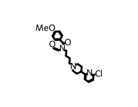 COc1ccc2c(c1)OC=CN(CCCCN1CCC(c3cccc(Cl)n3)CC1)C2=O